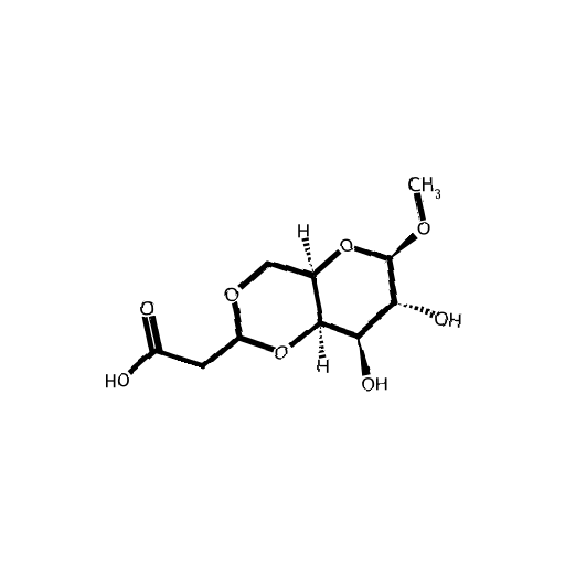 CO[C@@H]1O[C@@H]2COC(CC(=O)O)O[C@@H]2[C@H](O)[C@H]1O